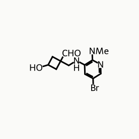 CNc1ncc(Br)cc1NCC1(C=O)CC(O)C1